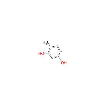 Cc1c[c]c(O)cc1O